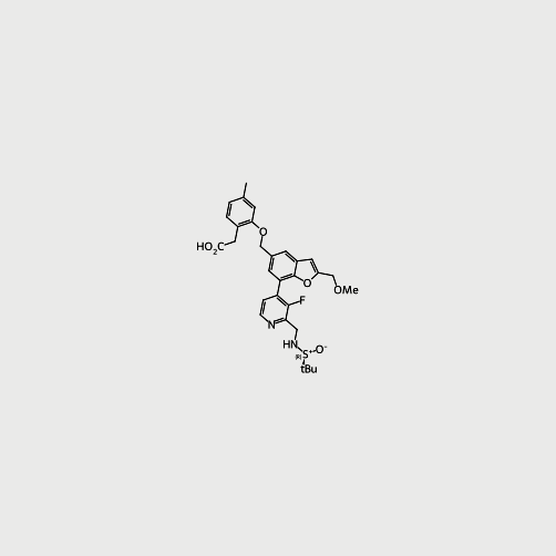 COCc1cc2cc(COc3cc(C)ccc3CC(=O)O)cc(-c3ccnc(CN[S@@+]([O-])C(C)(C)C)c3F)c2o1